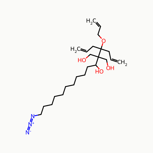 C=CCOC(CC=C)(CC=C)C(CO)(CO)C(O)CCCCCCCCCCN=[N+]=[N-]